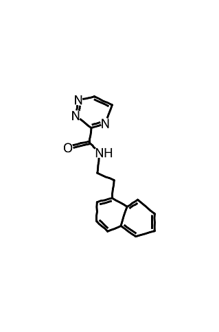 O=C(NCCc1cccc2ccccc12)c1nccnn1